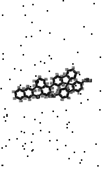 CC(C)(C)c1ccc2c(c1)C1(c3ccccc3-c3ccc(-c4ccc5c6c(cccc46)-c4cc6ccccc6cc4O5)cc31)c1cc(C(C)(C)C)ccc1-2